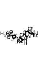 CCNc1nc(Nc2cnn([C@H]3C[C@@H](S(C)(=O)=O)C3)c2C)ncc1C(F)(F)F